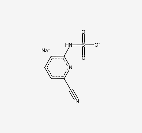 N#Cc1cccc(NS(=O)(=O)[O-])n1.[Na+]